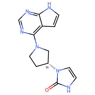 O=c1[nH]ccn1[C@@H]1CCN(c2ncnc3[nH]ccc23)C1